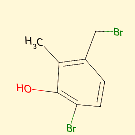 Cc1c(CBr)ccc(Br)c1O